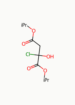 CC(C)OC(=O)CC(O)(Cl)C(=O)OC(C)C